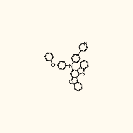 c1ccc(Oc2ccc(N(c3ccc(-c4ccncc4)cc3)c3cc4oc5ccccc5c4c4sc5ccccc5c34)cc2)cc1